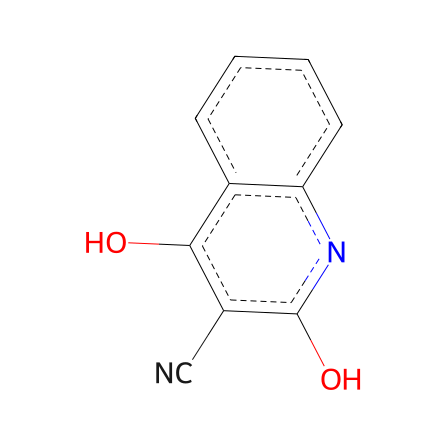 N#Cc1c(O)nc2ccccc2c1O